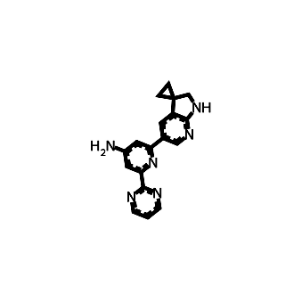 Nc1cc(-c2cnc3c(c2)C2(CC2)CN3)nc(-c2ncccn2)c1